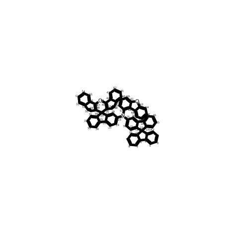 c1ccc2c(c1)-c1ccccc1C21c2ccccc2-c2cc(N(c3ccc4c(c3)C3(c5ccccc5-4)c4ccc5ccccc5c4Oc4c3ccc3ccccc43)c3cccc4oc5ccccc5c34)ccc21